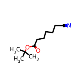 CC(C)(C)OC(=O)CCCCCC#N